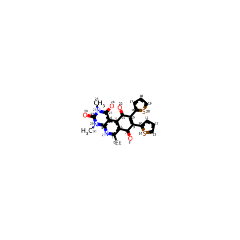 CCc1nc2c(c3c1C(=O)C(c1cccs1)=C(c1cccs1)C3=O)c(=O)n(C)c(=O)n2C